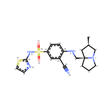 C[C@H]1CN2CCC[C@]2(CNc2ccc(S(=O)(=O)Nc3nccs3)cc2C#N)C1